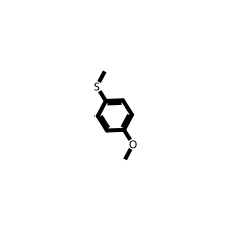 COc1c[c]c(SC)cc1